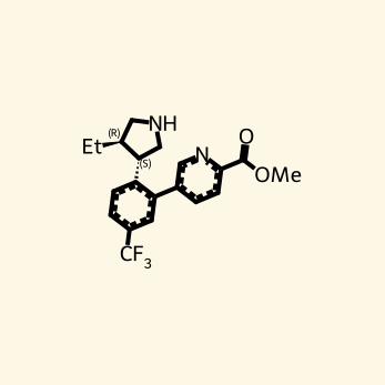 CC[C@H]1CNC[C@@H]1c1ccc(C(F)(F)F)cc1-c1ccc(C(=O)OC)nc1